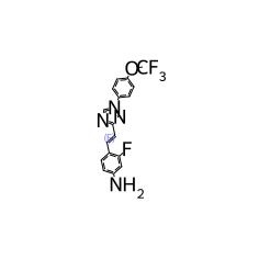 Nc1ccc(/C=C/c2ncn(-c3ccc(OC(F)(F)F)cc3)n2)c(F)c1